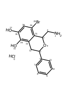 Cl.NCC1OC(c2ccccc2)Cc2c(O)c(O)cc(Br)c21